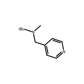 CN(Cc1ccncc1)C(C)(C)C